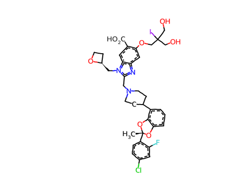 C[C@]1(c2ccc(Cl)cc2F)Oc2cccc(C3CCN(Cc4nc5cc(OCC(I)(CO)CO)c(C(=O)O)cc5n4C[C@@H]4CCO4)CC3)c2O1